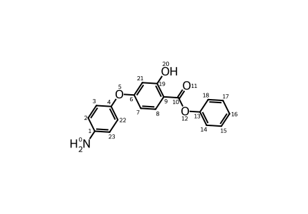 Nc1ccc(Oc2ccc(C(=O)Oc3ccccc3)c(O)c2)cc1